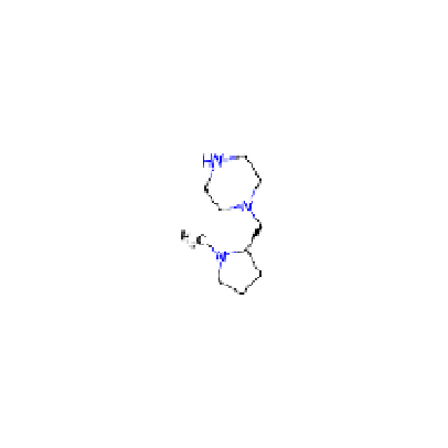 CN1CCC[C@@H]1CN1CCNCC1